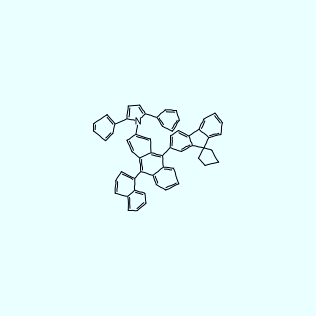 c1ccc(-c2ccc(-c3ccccc3)n2-c2ccc3c(-c4cccc5ccccc45)c4ccccc4c(-c4ccc5c(c4)C4(CCCC4)c4ccccc4-5)c3c2)cc1